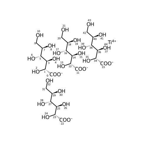 O=C([O-])[C@H](O)[C@H](O)[C@H](O)[C@H](O)CO.O=C([O-])[C@H](O)[C@H](O)[C@H](O)[C@H](O)CO.O=C([O-])[C@H](O)[C@H](O)[C@H](O)[C@H](O)CO.O=C([O-])[C@H](O)[C@H](O)[C@H](O)[C@H](O)CO.[Ti+4]